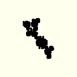 COc1ccc(CNc2nccc3c(NCC45CN(C(=O)OCc6cccnc6)C(COc6ccn(C)c(=O)c6)(C4)C5)cccc23)c(OC)c1